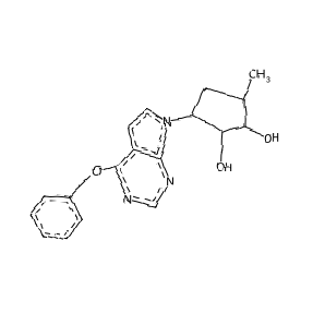 CC1CC(n2ccc3c(Oc4ccccc4)ncnc32)C(O)C1O